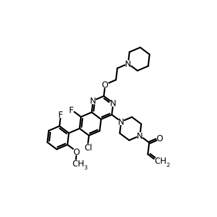 C=CC(=O)N1CCN(c2nc(OCCN3CCCCC3)nc3c(F)c(-c4c(F)cccc4OC)c(Cl)cc23)CC1